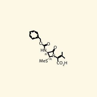 CS[C@@H]1[C@H](NC(=O)OCc2ccccc2)C(=O)N1C(C(=O)O)=C(C)C